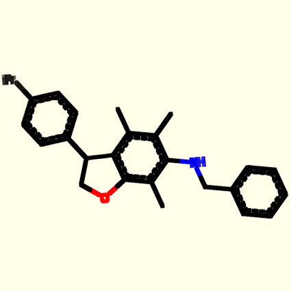 Cc1c(C)c2c(c(C)c1NCc1ccccc1)OCC2c1ccc(C(C)C)cc1